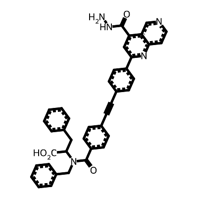 NNC(=O)c1cc(-c2ccc(C#Cc3ccc(C(=O)N(Cc4ccccc4)C(Cc4ccccc4)C(=O)O)cc3)cc2)nc2ccncc12